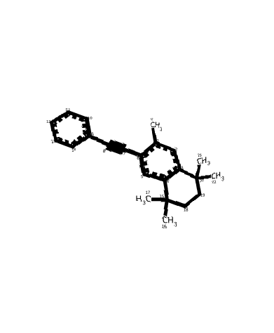 Cc1cc2c(cc1C#Cc1ccccc1)C(C)(C)CCC2(C)C